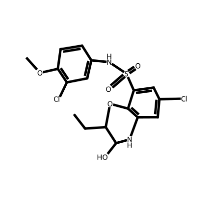 CCC1Oc2c(cc(Cl)cc2S(=O)(=O)Nc2ccc(OC)c(Cl)c2)NC1O